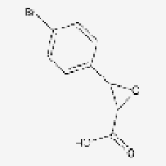 O=C(O)C1OC1c1ccc(Br)cc1